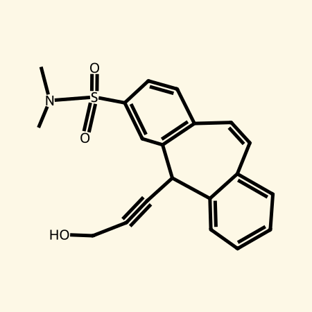 CN(C)S(=O)(=O)c1ccc2c(c1)C(C#CCO)c1ccccc1C=C2